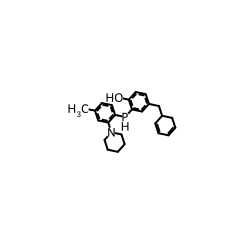 Cc1ccc(Pc2cc(CC3C=CC=CC3)ccc2O)c(N2CCCCC2)c1